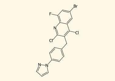 Fc1cc(Br)cc2c(Cl)c(Cc3ccc(-n4cccn4)cc3)c(Cl)nc12